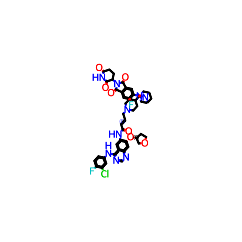 O=C(/C=C/CN1CCC(CN2C3CC2CN(c2cc4c(cc2F)C(=O)N(C2CCC(=O)NC2=O)C4=O)C3)CC1)Nc1cc2c(Nc3ccc(F)c(Cl)c3)ncnc2cc1O[C@H]1CCOC1